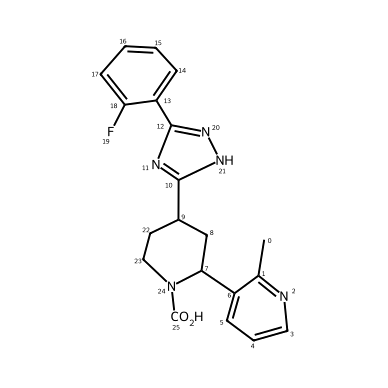 Cc1ncccc1C1CC(c2nc(-c3ccccc3F)n[nH]2)CCN1C(=O)O